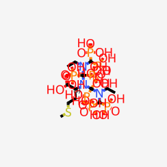 CCN(C(P(=O)(O)O)P(=O)(O)O)C(N([C@@H](CCSC)C(=O)O)C(N(CC)C(P(=O)(O)O)P(=O)(O)O)(P(=O)(O)O)P(=O)(O)O)(P(=O)(O)O)P(=O)(O)O